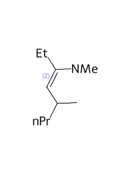 CCCC(C)/C=C(/CC)NC